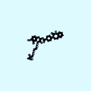 O=C(N=C=C=CN=C=C=N[SH]1(=O)CN1)[C@@H](Cc1ccc(O)c(Br)c1)OC(=O)N1CCC(N2CCc3ccccc3NC2=O)CC1